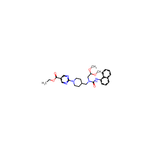 CCOC(=O)c1cnc(N2CCC(CN(CC(OC)OC)C(=O)Nc3cccc4ccccc34)CC2)nc1